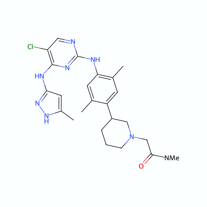 CNC(=O)CN1CCCC(c2cc(C)c(Nc3ncc(Cl)c(Nc4cc(C)[nH]n4)n3)cc2C)C1